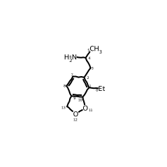 CCc1c(CC(C)N)ccc2c1OOC2